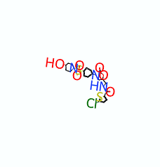 O=C(NCC1CN(c2ccc(S(=O)(=O)N3CCC(O)CC3)cc2)C(=O)O1)c1ccc(Cl)s1